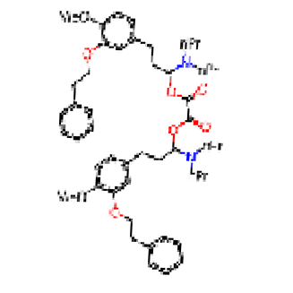 CCCN(CCC)C(CCc1ccc(OC)c(OCCc2ccccc2)c1)OC(=O)C(=O)OC(CCc1ccc(OC)c(OCCc2ccccc2)c1)N(CCC)CCC